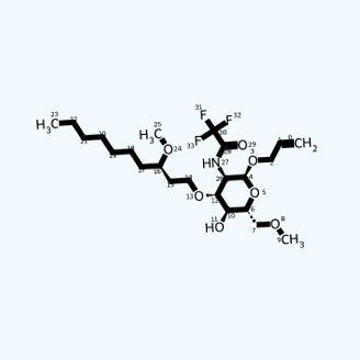 C=CCO[C@H]1O[C@H](COC)[C@@H](O)[C@H](OCC[C@@H](CCCCCCC)OC)[C@H]1NC(=O)C(F)(F)F